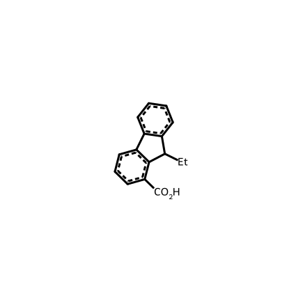 CCC1c2ccccc2-c2cccc(C(=O)O)c21